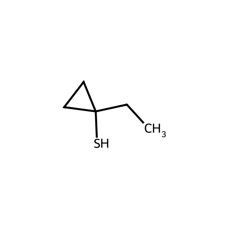 CCC1(S)CC1